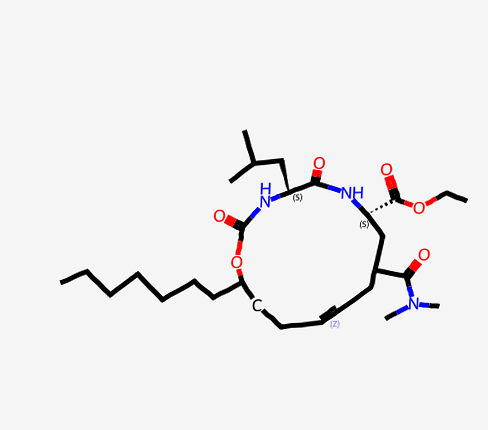 CCCCCCCC1CC/C=C\CC(C(=O)N(C)C)C[C@@H](C(=O)OCC)NC(=O)[C@H](CC(C)C)NC(=O)O1